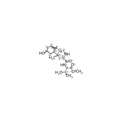 COC(=O)C(NC(=O)[C@H]1C[C@@](C)(c2cccc(O)c2)[C@@H](C)CN1)C(C)C